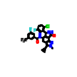 Cn1nc2c3c(c(NC(=O)c4cc(F)cc(C(F)(F)F)c4)cc2c1C1CC1)C(c1cc(F)ccc1Cl)NC3=O